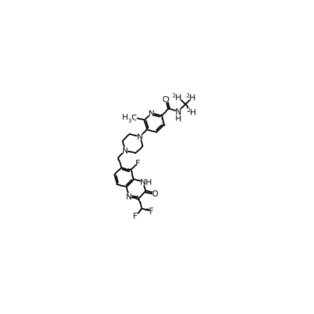 [2H]C([2H])([2H])NC(=O)c1ccc(N2CCN(Cc3ccc4nc(C(F)F)c(=O)[nH]c4c3F)CC2)c(C)n1